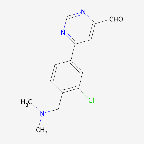 CN(C)Cc1ccc(-c2cc(C=O)ncn2)cc1Cl